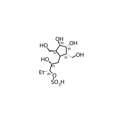 CC[C@@H](OS(=O)(=O)O)[C@@H](O)CC1[C@@H](CO)[C@@H](O)[C@H](O)[C@@H]1CO